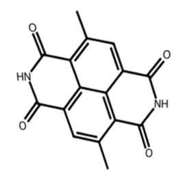 Cc1cc2c3c(c(C)cc4c3c1C(=O)NC4=O)C(=O)NC2=O